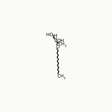 CCCCCCCCCCCCCCOCC(C)(O)CNCCO